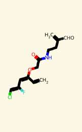 C=C/C(=C\C(F)=C\Cl)OCC(=O)NCCC(=C)C=O